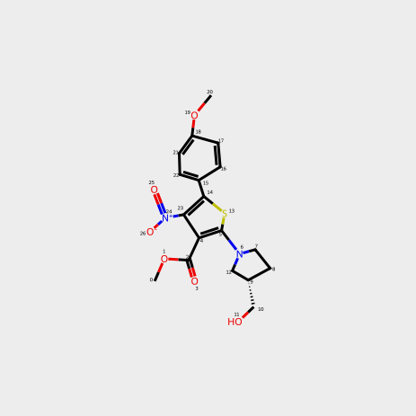 COC(=O)c1c(N2CC[C@H](CO)C2)sc(-c2ccc(OC)cc2)c1[N+](=O)[O-]